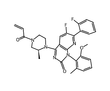 C=CC(=O)N1CCN(c2nc(=O)n(-c3c(C)cccc3OC)c3nc(-c4ccccc4F)c(F)cc23)[C@@H](C)C1